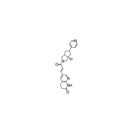 O=C1CCc2cc(/C=C/C(=O)N3CC4CC(c5ccncc5)C[C@@H]4C3)cnc2N1